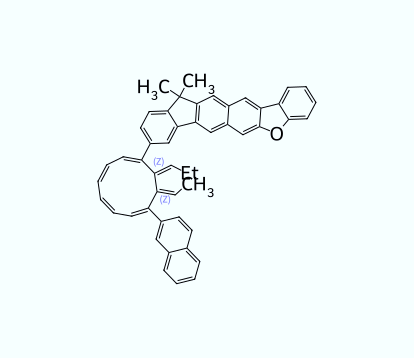 C/C=c1/c(-c2ccc3ccccc3c2)ccccccc(-c2ccc3c(c2)-c2cc4cc5oc6ccccc6c5cc4cc2C3(C)C)/c1=C/CC